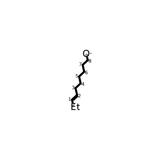 CCC=CCCCCCC[O]